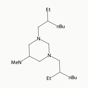 CCCCC(CC)CN1CC(NC)CN(CC(CC)CCCC)C1